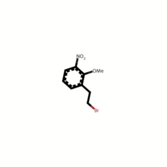 COc1c(CCBr)cccc1[N+](=O)[O-]